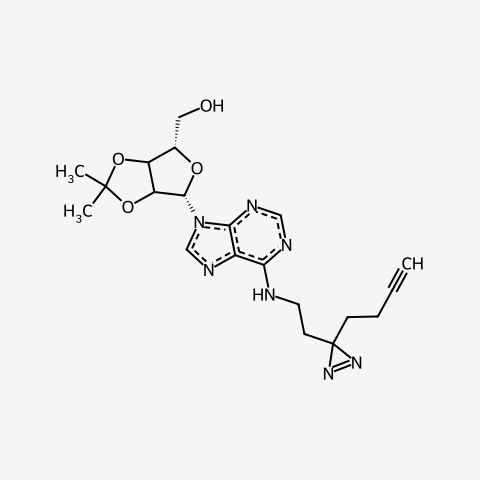 C#CCCC1(CCNc2ncnc3c2ncn3[C@H]2O[C@@H](CO)C3OC(C)(C)OC32)N=N1